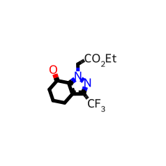 CCOC(=O)Cn1nc(C(F)(F)F)c2c1C(=O)CCC2